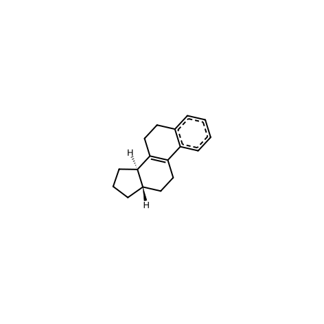 c1ccc2c(c1)CCC1=C2CC[C@@H]2CCC[C@@H]12